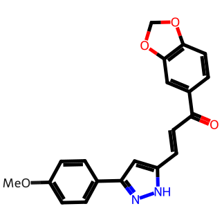 COc1ccc(-c2cc(C=CC(=O)c3ccc4c(c3)OCO4)[nH]n2)cc1